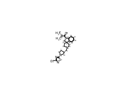 CCc1nsc(N2CC[C@@H](CN3CCC4(CC3)CN(C(=O)N(C)C)c3ccccc34)C2)n1